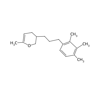 CC1=CCC(CCCc2ccc(C)c(C)c2C)CO1